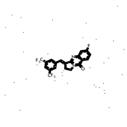 O=c1c2ccc(F)cc2nc2n1CC/C2=C\c1cc(C(F)(F)F)cc(C(F)(F)F)c1